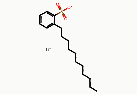 CCCCCCCCCCCc1ccccc1S(=O)(=O)[O-].[Li+]